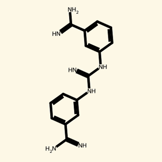 N=C(Nc1cccc(C(=N)N)c1)Nc1cccc(C(=N)N)c1